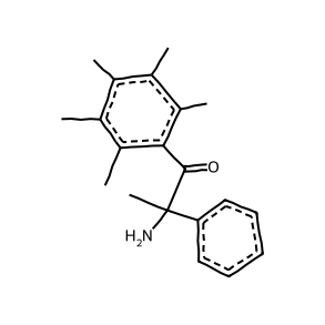 Cc1c(C)c(C)c(C(=O)C(C)(N)c2ccccc2)c(C)c1C